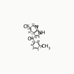 Cc1cccc(C(=O)c2c[nH]c3ncc(Cl)cc23)c1